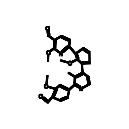 COc1cc(-c2nccc(-c3cccc(-c4ccc(C=O)c(OC)n4)c3OC)c2C)ccc1C=O